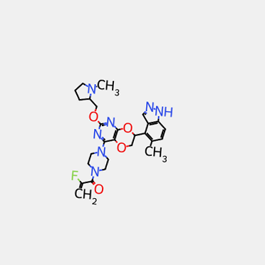 C=C(F)C(=O)N1CCN(c2nc(OCC3CCCN3C)nc3c2OCC(c2c(C)ccc4[nH]ncc24)O3)CC1